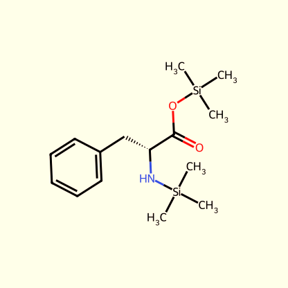 C[Si](C)(C)N[C@H](Cc1ccccc1)C(=O)O[Si](C)(C)C